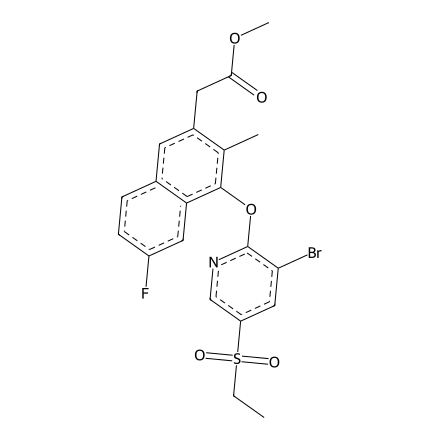 CCS(=O)(=O)c1cnc(Oc2c(C)c(CC(=O)OC)cc3ccc(F)cc23)c(Br)c1